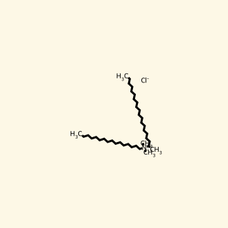 CCCCCCCCCCCCCCCCCCC(C)[N+](C)(C)CCCCCCCCCCCCCCCC.[Cl-]